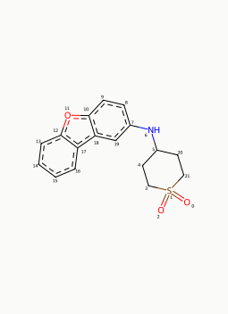 O=S1(=O)CCC(Nc2ccc3oc4ccccc4c3c2)CC1